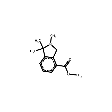 COC(=O)c1cccc2c1CN(C)C2(C)C